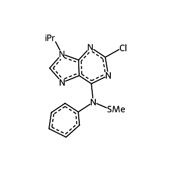 CSN(c1ccccc1)c1nc(Cl)nc2c1ncn2C(C)C